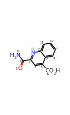 NC(=O)c1cc(C(=O)O)c2ccccc2n1